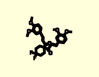 COc1ccc(C=CC(=O)C2(C(=O)C=Cc3ccc(OC)c(OC)c3)CCC(F)(F)CC2)cc1OC